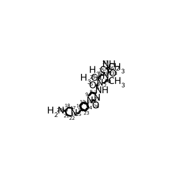 C[C@@H]1CN(C(=O)Nc2ccn(-c3ccc(CN4CCC(N)CC4)cc3)c(=O)n2)[C@@H](C)CN1C(=O)C(C)(C)N